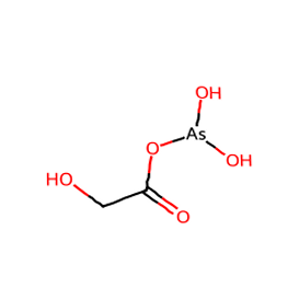 O=C(CO)O[As](O)O